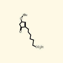 CCOC(=O)CCCCCCC1=CC(OC(C)(C)C)CC1=O